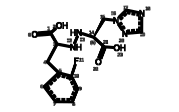 O=C(O)C(Cc1ccccc1F)NN[C@@H](Cn1cncn1)C(=O)O